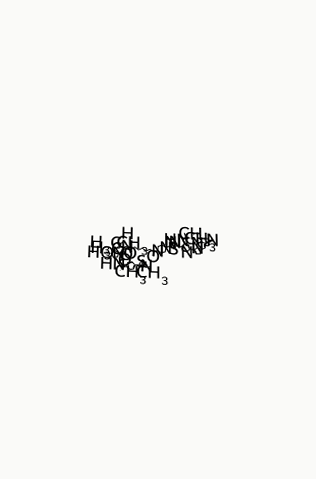 Cc1ncsc1-c1ccc([C@H](C)NC(=O)[C@@H]2C[C@@H](O)CN2C(=O)[C@@H](NC(=O)CCCCCC(=O)N2CCN(c3nnc(-c4cnc(-c5ccc6cc(C#N)cnn56)cc4NC(C)C)s3)CC2)C(C)(C)C)cc1